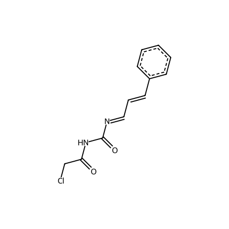 O=C(CCl)NC(=O)N=CC=Cc1ccccc1